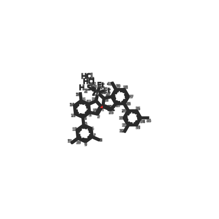 CCC1=Cc2c(-c3cc(C)cc(C)c3)ccc(C)c2[CH]1[Zr](=[SiH2])([CH2]C)([CH2]C)[CH]1C(C)=Cc2c(-c3cc(C)cc(C)c3)ccc(C)c21.Cl.Cl